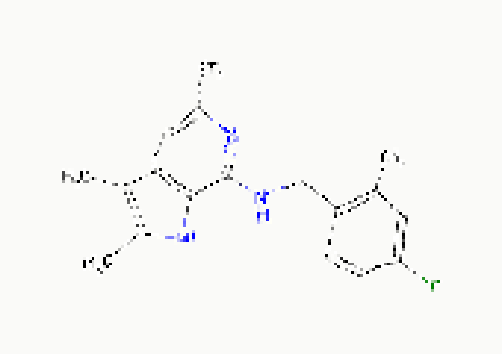 Cc1cc(F)ccc1CNc1nc(C(F)(F)F)cc2c(C)c(C)[nH]c12